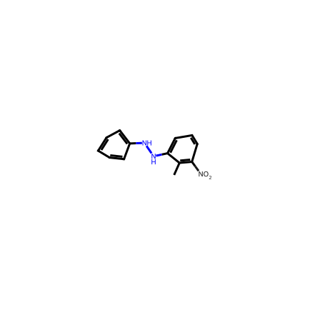 Cc1c(NNc2ccccc2)cccc1[N+](=O)[O-]